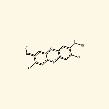 CCN=c1cc2oc3cc(NCC)c(Cl)cc3nc-2cc1Cl